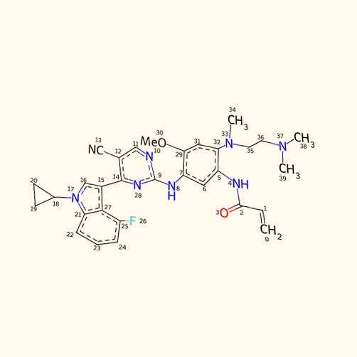 C=CC(=O)Nc1cc(Nc2ncc(C#N)c(-c3cn(C4CC4)c4cccc(F)c34)n2)c(OC)cc1N(C)CCN(C)C